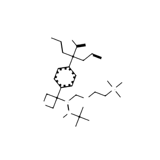 C=CCC(CCC)(C(=O)O)c1ccc(C2(N(COCC[Si](C)(C)C)[S+]([O-])C(C)(C)C)COC2)cc1